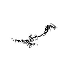 CC(C)CCC[C@@H](C)[C@H]1CC[C@H]2[C@@H]3CC=C4CC(OCCCNC(=O)CCC(=O)N[C@@H](CC(C)C)C(=O)N(c5ccc(COC(=O)Oc6ccc([N+](=O)[O-])cc6)cc5)[C@@H](CC(N)=O)C(=O)O)CC[C@]4(C)[C@H]3CC[C@]12C